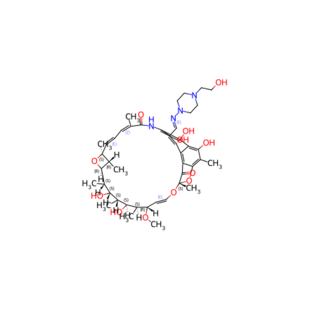 CO[C@H]1/C=C/O[C@@]2(C)Oc3c(C)c(O)c4c(O)c(c(/C=N/N5CCN(CCO)CC5)c(O)c4c3C2=O)NC(=O)/C(C)=C\C=C\[C@]2(C)O[C@H]([C@@H](C)[C@@H](O)[C@@H](C)[C@H](O)[C@@H]1C)[C@H]2C